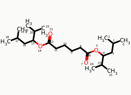 CC(C)CC(OC(=O)CCCCC(=O)OC(CC(C)C)C(C)C)C(C)C